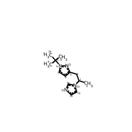 CC(Cc1ccn(C(C)(C)C)n1)n1ccnc1